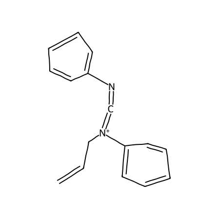 C=CC[N+](=C=Nc1ccccc1)c1ccccc1